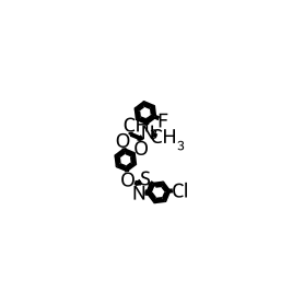 CC(Oc1ccc(Oc2nc3ccc(Cl)cc3s2)cc1)C(=O)N(C)c1ccccc1F